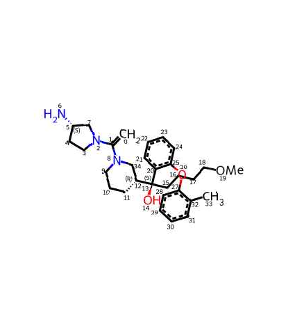 C=C(N1CC[C@H](N)C1)N1CCC[C@@H]([C@@](O)(CCCCOC)c2ccccc2Oc2ccccc2C)C1